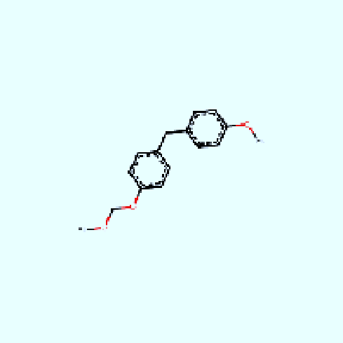 CCOCOc1ccc(Cc2ccc(OCC)cc2)cc1